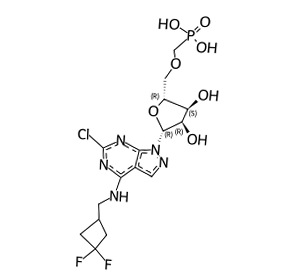 O=P(O)(O)COC[C@H]1O[C@@H](n2ncc3c(NCC4CC(F)(F)C4)nc(Cl)nc32)[C@H](O)[C@@H]1O